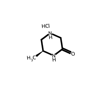 C[C@H]1CNCC(=O)N1.Cl